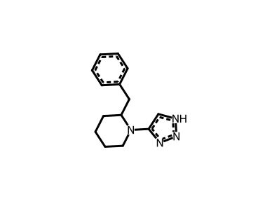 c1ccc(CC2CCCCN2c2c[nH]nn2)cc1